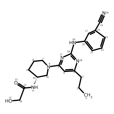 CCCc1cc(N2CCC[C@@H](NC(=O)CO)C2)nc(Nc2cccc(C#N)c2)n1